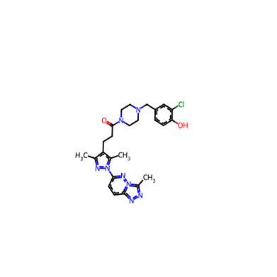 Cc1nn(-c2ccc3nnc(C)n3n2)c(C)c1CCC(=O)N1CCN(Cc2ccc(O)c(Cl)c2)CC1